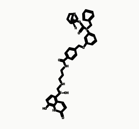 O=C(NCCCNC[C@H](O)c1ccc(O)c2[nH]c(=O)ccc12)c1ccc(COc2cccc(N(Cc3ccccc3)C(=O)O[C@H]3CN4CCC3CC4)c2)cc1